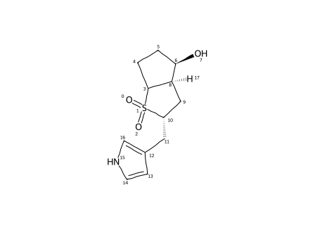 O=S1(=O)C2CC[C@@H](O)[C@H]2C[C@@H]1Cc1cc[nH]c1